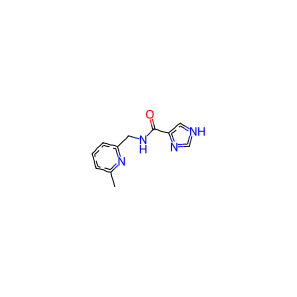 Cc1cccc(CNC(=O)c2c[nH]cn2)n1